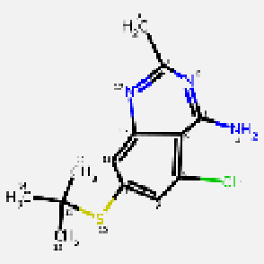 Cc1nc(N)c2c(Cl)cc(SC(C)(C)C)cc2n1